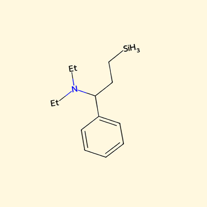 CCN(CC)C(CC[SiH3])c1ccccc1